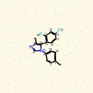 Cc1ccc(-n2cnc(C)c2-c2ccc(F)cc2F)cc1